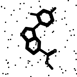 COC(=O)c1ccc2scc(-c3ccc(C)cc3C)c2c1